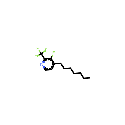 CCCCCCCc1ccnc(C(F)(F)F)c1F